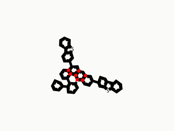 c1ccc(-c2ccccc2-c2c(-c3ccccc3)cccc2N(c2ccc(-c3ccc4c(c3)sc3ccccc34)cc2)c2ccc(-c3ccc4c(c3)sc3ccccc34)cc2)cc1